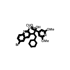 COc1cc(C(O)(CC=O)C(CC2CCCCC2)c2cc3cc(Br)ccc3nc2OC)cc(OC)n1